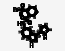 CCS(=O)(=O)c1ccccc1S(=O)(=O)Nc1ccc2[nH]nc(-c3ccc[nH]3)c2c1